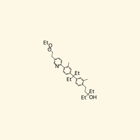 CCOOCCc1ccc(-c2ccc(C(CC)(CC)c3ccc(CCC(O)(CC)CC)c(C)c3)cc2C)nc1